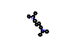 c1ccc(-c2cc(-c3ccccc3)nc(-c3ccc(-c4cccc5c(-c6ccc(-c7cc(-c8ccccc8)cc(-c8ccccc8)n7)cc6)cccc45)cc3)c2)cc1